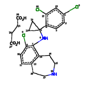 Clc1ccc(C2(Nc3c(Cl)ccc4c3CCNCC4)CC2)c(Cl)c1.O=C(O)CCC(=O)O